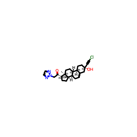 C[C@]12CC[C@H]3[C@@H](CC=C4C[C@](O)(C#CCl)CC[C@@H]43)[C@@H]1CC[C@@H]2C(=O)Cn1nccn1